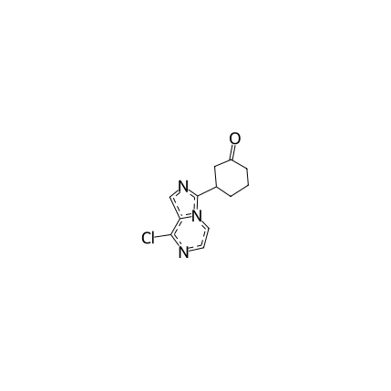 O=C1CCCC(c2ncc3c(Cl)nccn23)C1